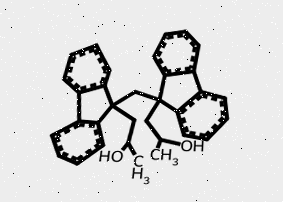 CC(O)CC1(CC2(CC(C)O)c3ccccc3-c3ccccc32)c2ccccc2-c2ccccc21